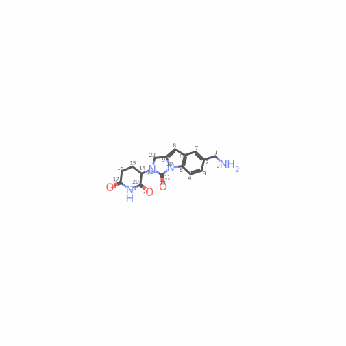 NCc1ccc2c(c1)cc1n2C(=O)N(C2CCC(=O)NC2=O)C1